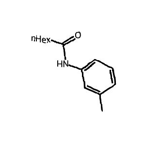 CCCCCCC(=O)Nc1cccc(C)c1